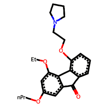 CCCOc1cc(OCC)c2c(c1)C(=O)c1cccc(OCCN3CCCC3)c1-2